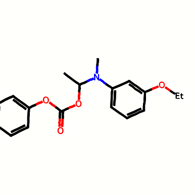 CCOc1cccc(N(C)C(C)OC(=O)Oc2ccccc2)c1